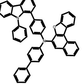 c1ccc(-c2ccc(N(c3ccc(-c4cccc5c6ccccc6n(-c6ccccc6)c45)cc3)c3cc4ccccc4c4c3oc3ccccc34)cc2)cc1